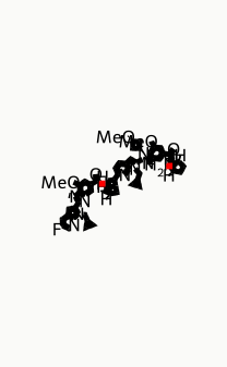 COc1cc(C(=O)N2C[C@H]3CC4C(c5ccc6cc(-c7nc8cc(C(=O)N9C[C@H]%10CC[C@@H]9[C@@H]%10N)cc(OC)c8n7[C@H]7C[C@@H](OC)C7)n(CC7CC7)c6n5)[C@@H]2[C@H]43)cc2nc(-c3cc4cc(F)cnc4n3CC3CC3)n(C)c12